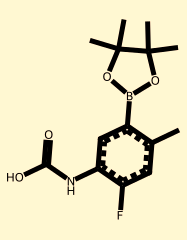 Cc1cc(F)c(NC(=O)O)cc1B1OC(C)(C)C(C)(C)O1